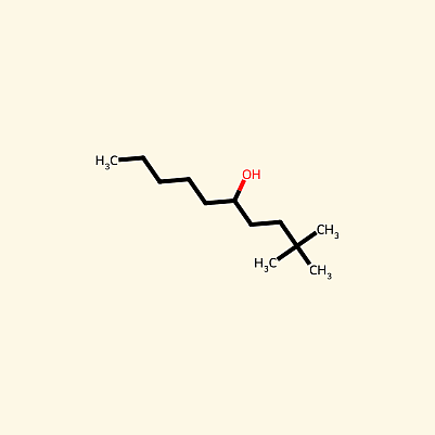 CCCCCC(O)CCC(C)(C)C